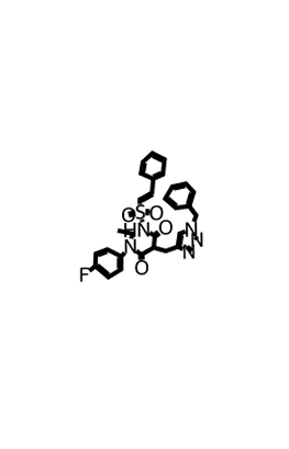 CCN(C(=O)C(Cc1cn(Cc2ccccc2)nn1)C(=O)NS(=O)(=O)C=Cc1ccccc1)c1ccc(F)cc1